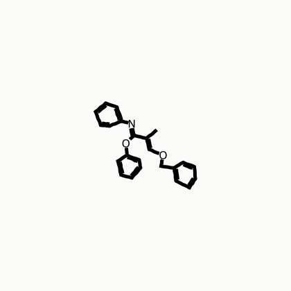 CC(=C\OCc1ccccc1)/C(=N/c1ccccc1)Oc1ccccc1